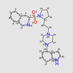 O=S(=O)(c1cc2ccccc2cn1)N1CCCC1CCN1CCN(c2cccc3[nH]ccc23)CC1